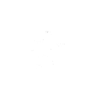 CCc1c(C)ccc(N)c1C(=O)O